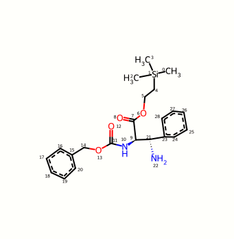 C[Si](C)(C)CCOC(=O)[C@H](NC(=O)OCc1ccccc1)[C@@H](N)c1ccccc1